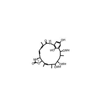 COC1CC(C)C(OC)c2cc(O)cc(c2O)NC(=O)C(C)=CC=CC(C)C(OC(N)=O)C(C)=CC(C)C1OC